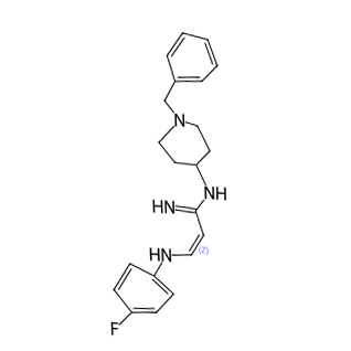 N=C(/C=C\Nc1ccc(F)cc1)NC1CCN(Cc2ccccc2)CC1